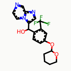 OC(c1ccc(OC2CCCCO2)cc1C(F)(F)F)c1cnc2cnccn12